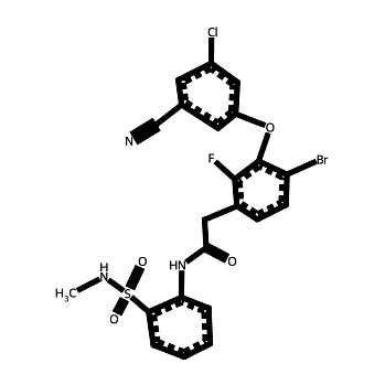 CNS(=O)(=O)c1ccccc1NC(=O)Cc1ccc(Br)c(Oc2cc(Cl)cc(C#N)c2)c1F